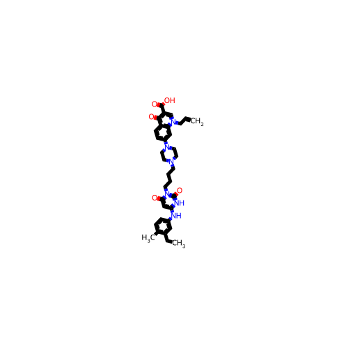 C=CCn1cc(C(=O)O)c(=O)c2ccc(N3CCN(CCCCn4c(=O)cc(Nc5ccc(C)c(CC)c5)[nH]c4=O)CC3)cc21